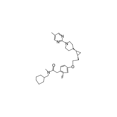 Cc1cnc(N2CCC([C@H]3C[C@H]3CCOc3ccc(CC(=O)N(C)CC4CCCCC4)c(F)c3)CC2)nc1